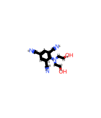 N#Cc1cc(C#N)c(N(CCO)CCO)c(C#N)c1